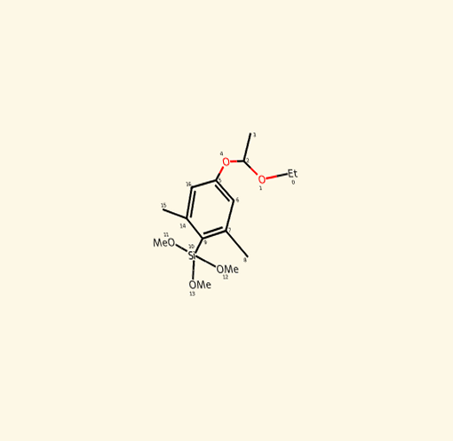 CCOC(C)Oc1cc(C)c([Si](OC)(OC)OC)c(C)c1